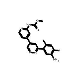 COC(=O)Nc1cc(-c2cnnc(-c3cc(N)c(F)cc3C)c2)ccn1